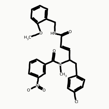 COc1ccccc1CNC(=O)C=CC(Cc1ccc(Cl)cc1)N(C)C(=O)c1cccc([N+](=O)[O-])c1